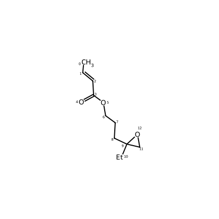 CC=CC(=O)OCCCC1(CC)CO1